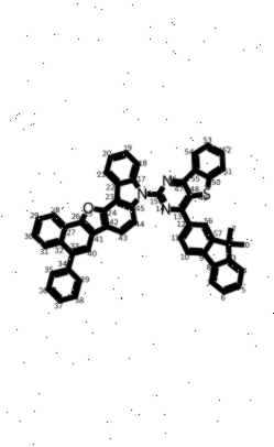 CC1(C)c2ccccc2-c2ccc(-c3nc(-n4c5ccccc5c5c6oc7c8ccccc8c(-c8ccccc8)cc7c6ccc54)nc4c3sc3ccccc34)cc21